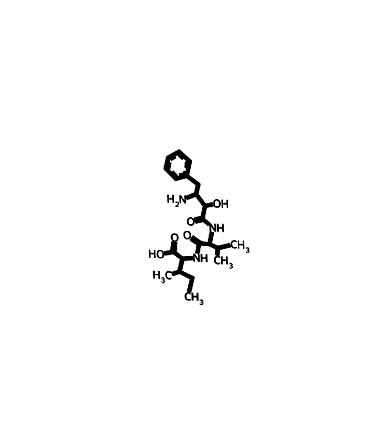 CCC(C)C(NC(=O)C(NC(=O)C(O)C(N)Cc1ccccc1)C(C)C)C(=O)O